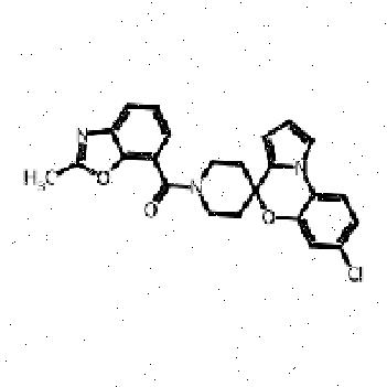 Cc1nc2cccc(C(=O)N3CCC4(CC3)Oc3cc(Cl)ccc3-n3cccc34)c2o1